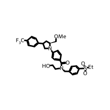 CCS(=O)(=O)c1ccc(CN(CCO)C(=O)c2ccc(N3CC(c4ccc(C(F)(F)F)cc4)C[C@H]3COC)cc2)cc1